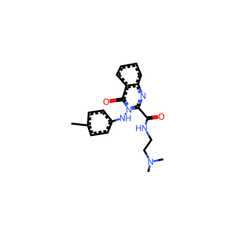 Cc1ccc(Nn2c(C(=O)NCCN(C)C)nc3ccccc3c2=O)cc1